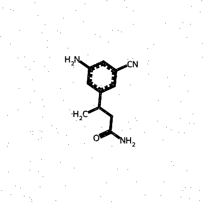 [CH2]C(CC(N)=O)c1cc(N)cc(C#N)c1